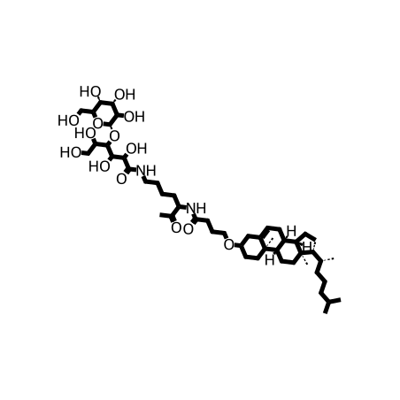 CC(=O)C(CCCCNC(=O)C(O)C(O)C(O[C@@H]1OC(CO)[C@H](O)[C@H](O)C1O)C(O)CO)NC(=O)CCCOC1CC[C@@]2(C)C(=CC[C@H]3[C@@H]4CC[C@H]([C@H](C)CCCC(C)C)[C@@]4(C)CC[C@@H]32)C1